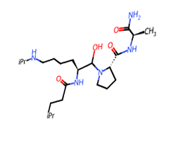 CC(C)CCC(=O)N[C@@H](CCCCNC(C)C)C(O)N1CCC[C@H]1C(=O)N[C@H](C)C(N)=O